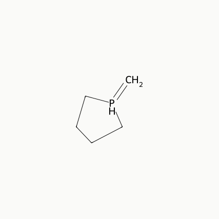 C=[PH]1CCCC1